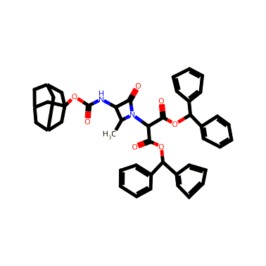 CC1C(NC(=O)OC23CC4CC(CC(C4)C2)C3)C(=O)N1C(C(=O)OC(c1ccccc1)c1ccccc1)C(=O)OC(c1ccccc1)c1ccccc1